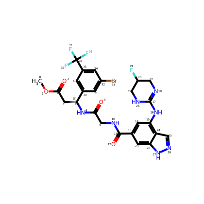 COC(=O)C[C@H](NC(=O)CNC(=O)c1cc(NC2=NCC(F)CN2)c2cn[nH]c2c1)c1cc(Br)cc(C(F)(F)F)c1